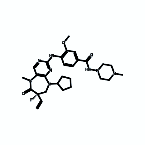 C=C[C@]1(F)CN(C2CCCC2)c2nc(Nc3ccc(C(=O)NN4CCN(C)CC4)cc3OC)ncc2N(C)C1=O